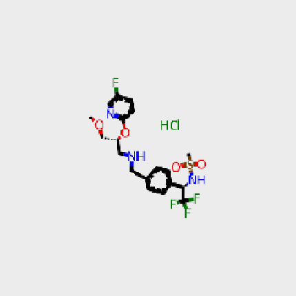 COC[C@@H](CNCc1ccc([C@H](NS(C)(=O)=O)C(F)(F)F)cc1)Oc1ccc(F)cn1.Cl